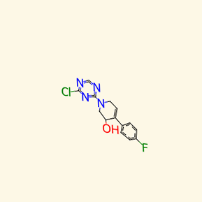 OC1CN(c2ncnc(Cl)n2)CC=C1c1ccc(F)cc1